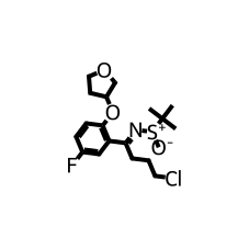 CC(C)(C)[S+]([O-])N=C(CCCCl)c1cc(F)ccc1OC1CCOC1